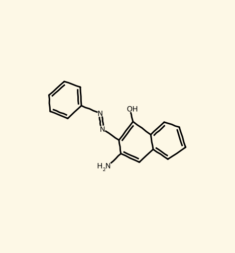 Nc1cc2ccccc2c(O)c1N=Nc1ccccc1